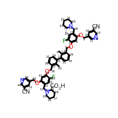 Cc1c(COc2cc(OCc3cncc(C#N)c3)c(CN3CCCC[C@H]3C)cc2F)cccc1-c1cccc(COc2cc(OCc3cncc(C#N)c3)c(CN3CCCC[C@H]3C(=O)O)cc2F)c1C